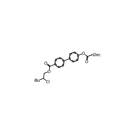 CCCCCCCCCCC(=O)Oc1ccc(-c2ccc(C(=O)OCC(Cl)C(C)CC)cc2)cc1